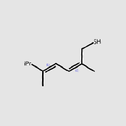 C/C(=C/C=C(\C)C(C)C)CS